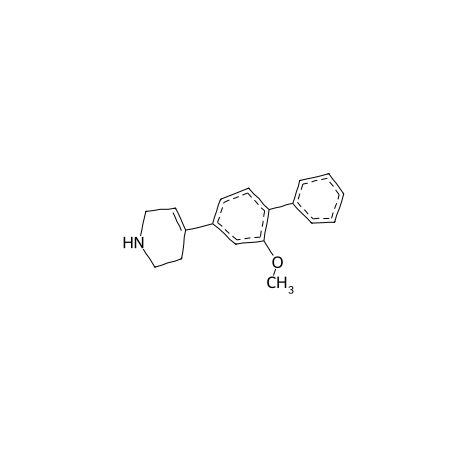 COc1cc(C2=CCNCC2)ccc1-c1ccccc1